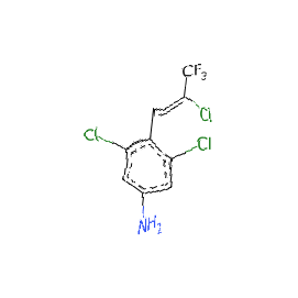 Nc1cc(Cl)c(/C=C(\Cl)C(F)(F)F)c(Cl)c1